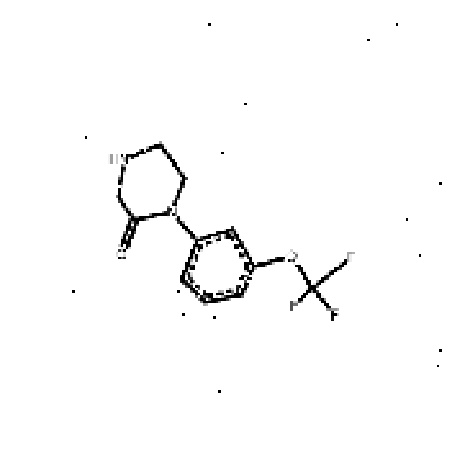 O=C1CNCCN1c1cccc(OC(F)(F)F)c1